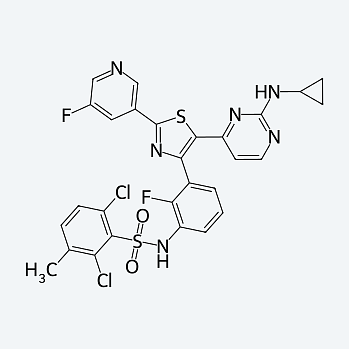 Cc1ccc(Cl)c(S(=O)(=O)Nc2cccc(-c3nc(-c4cncc(F)c4)sc3-c3ccnc(NC4CC4)n3)c2F)c1Cl